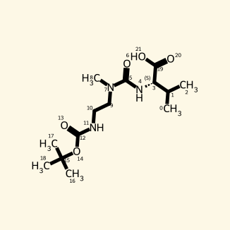 CC(C)[C@H](NC(=O)N(C)CCNC(=O)OC(C)(C)C)C(=O)O